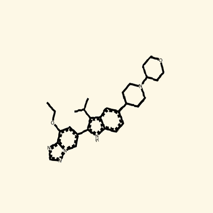 CCOc1cc(-c2[nH]c3ccc(C4CCN(C5CCOCC5)CC4)cc3c2C(C)C)cn2ncnc12